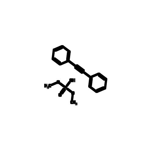 C(#Cc1ccccc1)c1ccccc1.COP(=O)(O)OC